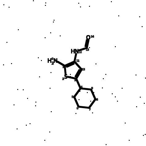 Nc1sc(C2CCCCC2)cc1NC=O